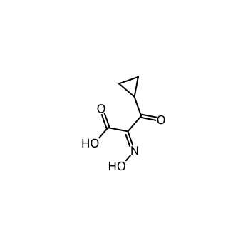 O=C(O)/C(=N\O)C(=O)C1CC1